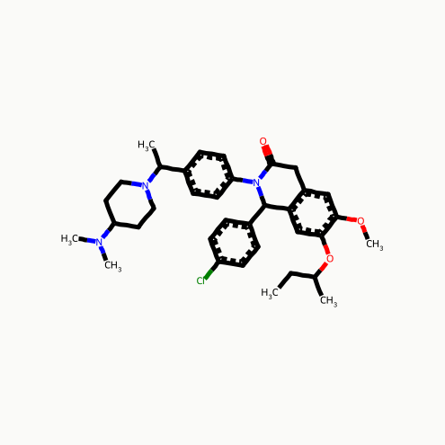 CCC(C)Oc1cc2c(cc1OC)CC(=O)N(c1ccc(C(C)N3CCC(N(C)C)CC3)cc1)C2c1ccc(Cl)cc1